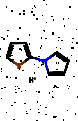 [H+].c1csc(-n2cccc2)c1